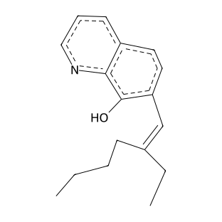 CCCCC(=Cc1ccc2cccnc2c1O)CC